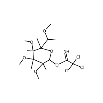 COC(C)C1(C)OC(OC(=N)C(Cl)(Cl)Cl)C(C)(OC)C(C)(OC)C1(C)OC